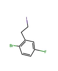 Fc1ccc(Br)c(CCI)c1